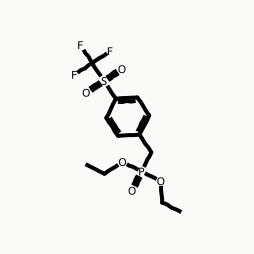 CCOP(=O)(Cc1ccc(S(=O)(=O)C(F)(F)F)cc1)OCC